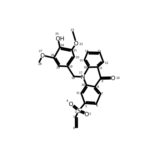 C=CS(=O)(=O)c1ccc2c(=O)c3ccccc3n(Cc3cc(OC)c(O)c(OC)c3)c2c1